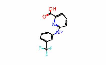 O=C(O)c1cccc(Nc2cccc(C(F)(F)F)c2)n1